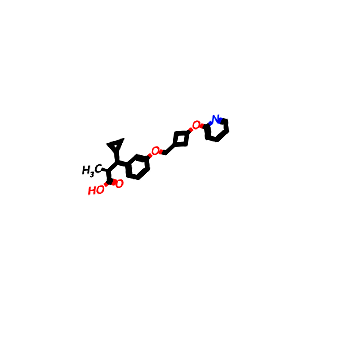 C[C@H](C(=O)O)C(c1cccc(OCC2CC(Oc3ccccn3)C2)c1)C1CC1